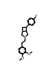 COc1ccc(CCN2CC3CC(c4ccc(F)cc4)C3C2)cc1OC